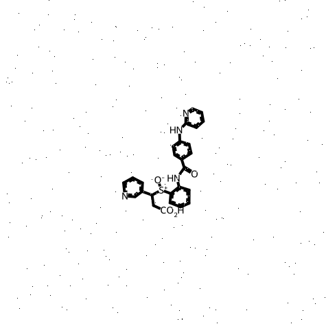 O=C(O)CC(c1cccnc1)[S+]([O-])c1ccccc1NC(=O)c1ccc(Nc2ccccn2)cc1